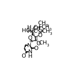 CO[C@@H]1[C@H](O[Si](C)(C)C(C)(C)C)[C@@H]([C@H](C)O)O[C@H]1n1ccc(=O)[nH]c1=O